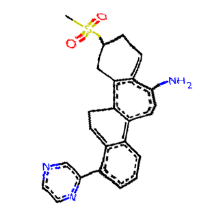 CS(=O)(=O)C1CC=c2c(N)cc3c(c2C1)CC=c1c(-c2cnccn2)cccc1=3